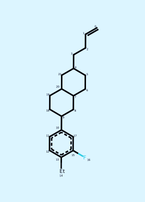 C=CCCC1CCC2CC(c3ccc(CC)c(F)c3)CCC2C1